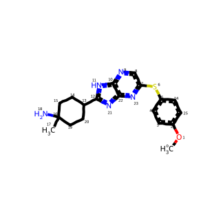 COc1ccc(Sc2cnc3[nH]c(C4CCC(C)(N)CC4)nc3n2)cc1